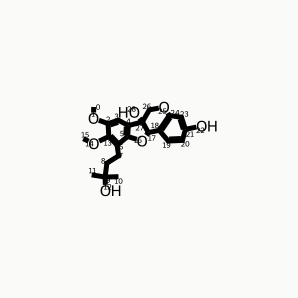 COc1cc2c(c(CCC(C)(C)O)c1OC)OC1c3ccc(O)cc3OCC21O